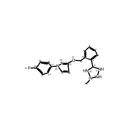 CN1NNC(c2ccccc2COc2ccn(-c3ccc(F)cc3)n2)N1